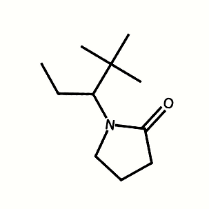 CCC(N1CCCC1=O)C(C)(C)C